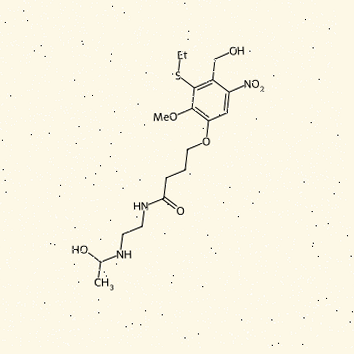 CCSc1c(CO)c([N+](=O)[O-])cc(OCCCC(=O)NCCNC(C)O)c1OC